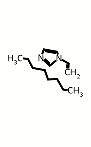 C=Cn1ccnc1.CCCCCCCC